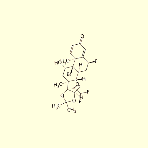 CC1(C)O[C@@H]2C[C@H]3[C@@H]4C[C@H](F)C5=CC(=O)C=C[C@]5(C)[C@@]4(Br)[C@@H](O)C[C@]3(C)[C@]2(C(=O)C(F)F)O1